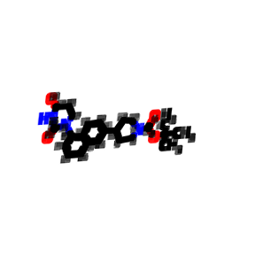 CC(C)(C)OC(=O)N1CCC(c2ccc3c(N4CCC(=O)NC4=O)cccc3c2)CC1